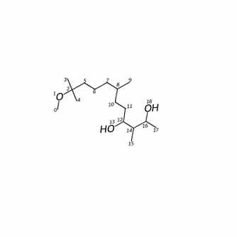 COC(C)(C)CCCC(C)CCC(O)C(C)C(C)O